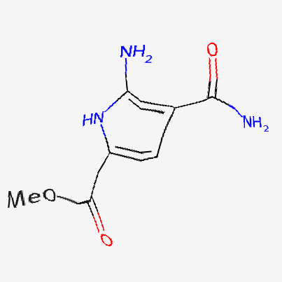 COC(=O)c1cc(C(N)=O)c(N)[nH]1